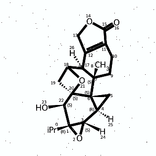 CC(C)[C@]12O[C@H]1[C@@H]1C[C@@]13[C@@]1(C)CCC4=C(COC4=O)[C@@H]1C1C[C@@]3(O1)[C@@H]2O